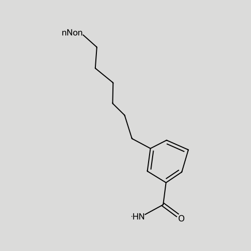 CCCCCCCCCCCCCCCc1cccc(C([NH])=O)c1